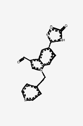 O=Cc1cn(Cc2ccncc2)c2ccc(-c3noc(=O)[nH]3)cc12